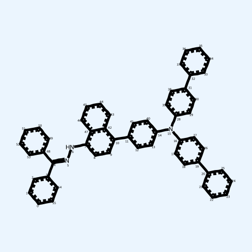 c1ccc(C(=NNc2ccc(-c3ccc(N(c4ccc(-c5ccccc5)cc4)c4ccc(-c5ccccc5)cc4)cc3)c3ccccc23)c2ccccc2)cc1